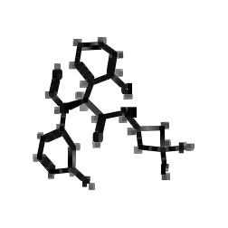 O=CN(c1cccc(F)c1)[C@H](C(=O)NC1CC(F)(F)C1)c1ccccc1Cl